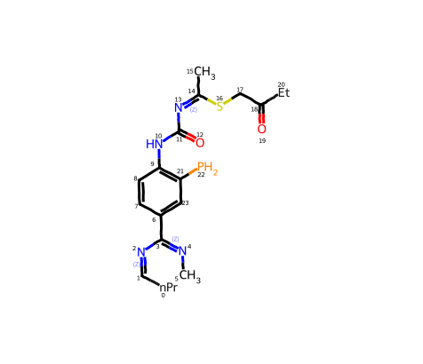 CCC/C=N\C(=N/C)c1ccc(NC(=O)/N=C(/C)SCC(=O)CC)c(P)c1